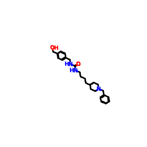 O=C(NCCCCC1CCN(Cc2ccccc2)CC1)NCc1ccc(CO)cc1